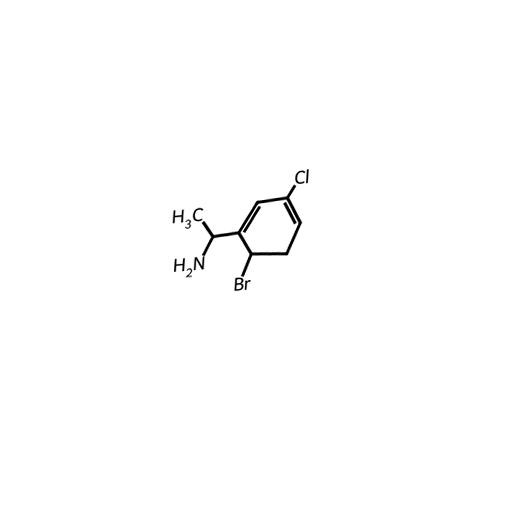 CC(N)C1=CC(Cl)=CCC1Br